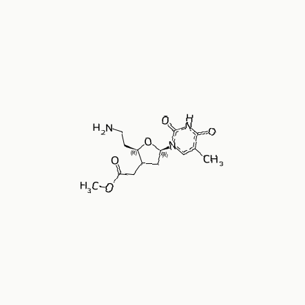 COC(=O)CC1C[C@H](n2cc(C)c(=O)[nH]c2=O)O[C@@H]1CCN